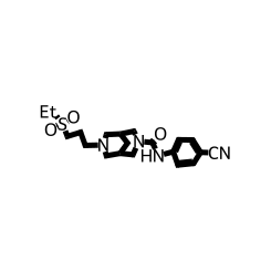 CCS(=O)(=O)CCCN1CC2CC(C1)CN(C(=O)Nc1ccc(C#N)cc1)C2